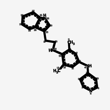 Cc1cc(Nc2ccncc2)cc(C)c1NCCc1c[nH]c2ccccc12